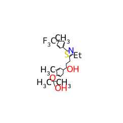 CCc1nc(C2=CCC(C)(C(F)(F)F)C=C2)sc1CCC(O)C1C=C(C)C(OC(C)(C)CO)=CC1